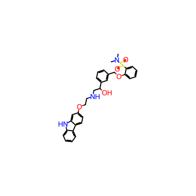 CN(C)S(=O)(=O)c1ccccc1OCc1cccc(C(O)CNCCOc2ccc3c(c2)[nH]c2ccccc23)c1